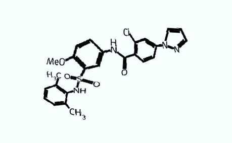 COc1ccc(NC(=O)c2ccc(-n3cccn3)cc2Cl)cc1S(=O)(=O)Nc1c(C)cccc1C